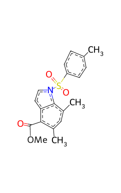 COC(=O)c1c(C)cc(C)c2c1ccn2S(=O)(=O)c1ccc(C)cc1